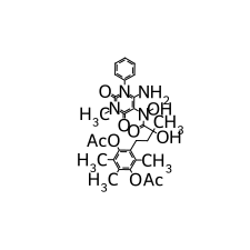 CC(=O)Oc1c(C)c(C)c(OC(C)=O)c(CCC(C)(O)C(=O)N(O)c2c(N)n(-c3ccccc3)c(=O)n(C)c2=O)c1C